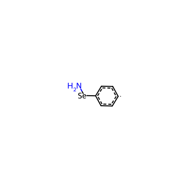 N[Se]c1cc[c]cc1